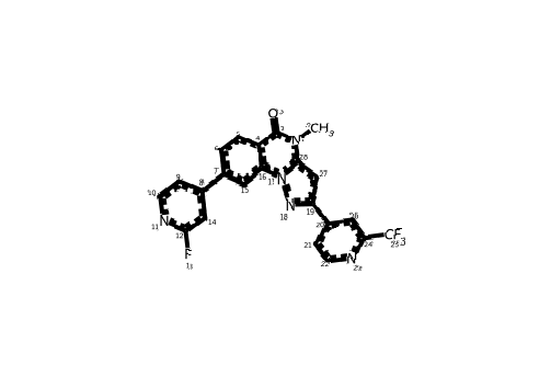 Cn1c(=O)c2ccc(-c3ccnc(F)c3)cc2n2nc(-c3ccnc(C(F)(F)F)c3)cc12